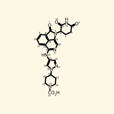 O=C1CCC(N2C(=O)c3cccc4c(Nc5cnn(C6CCN(C(=O)O)CC6)c5)ncc2c34)C(=O)N1